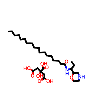 CCCCCCCCCCCCCCCCCC(=O)NC(CC)C1CNCCO1.O=C(O)CC(O)(CC(=O)O)C(=O)O